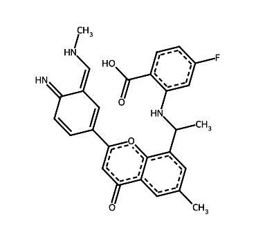 CN/C=C1/C=C(c2cc(=O)c3cc(C)cc(C(C)Nc4cc(F)ccc4C(=O)O)c3o2)C=CC1=N